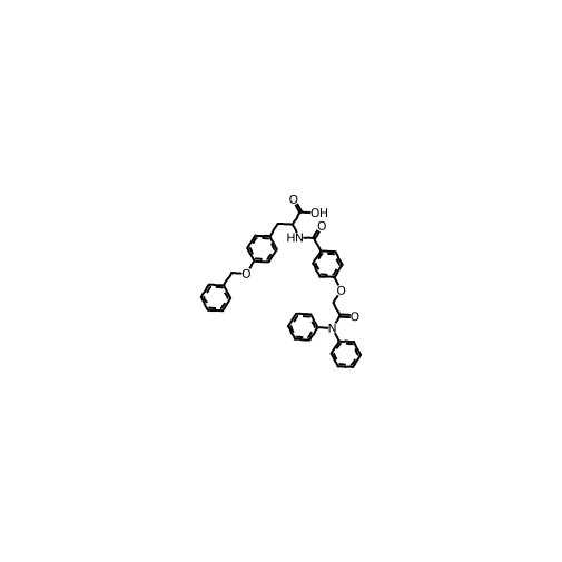 O=C(NC(Cc1ccc(OCc2ccccc2)cc1)C(=O)O)c1ccc(OCC(=O)N(c2ccccc2)c2ccccc2)cc1